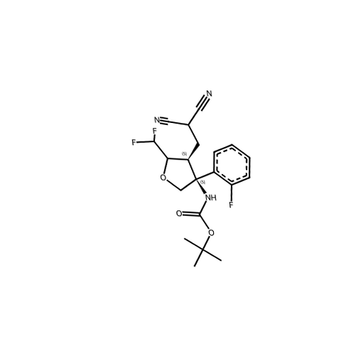 CC(C)(C)OC(=O)N[C@@]1(c2ccccc2F)COC(C(F)F)[C@H]1CC(C#N)C#N